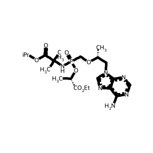 CCOC(=O)[C@H](C)OP(=O)(CO[C@H](C)Cn1cnc2c(N)ncnc21)NC(C)(C)C(=O)OC(C)C